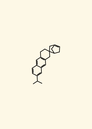 CC(C)c1ccc2cc3c(cc2c1)CC1(CC3)CC2=CCC1C2